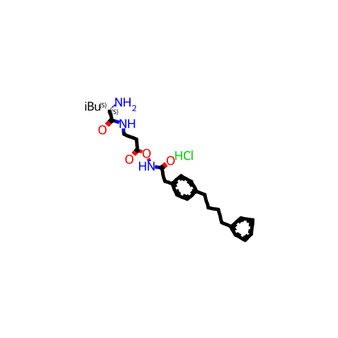 CC[C@H](C)[C@H](N)C(=O)NCCC(=O)ONC(=O)Cc1ccc(CCCCc2ccccc2)cc1.Cl